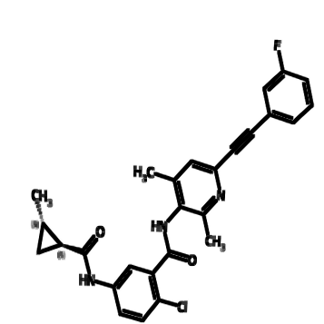 Cc1cc(C#Cc2cccc(F)c2)nc(C)c1NC(=O)c1cc(NC(=O)[C@H]2C[C@@H]2C)ccc1Cl